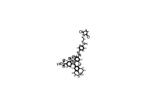 CN(CCCN1C(=O)C=CC1=O)c1ccc(/N=N/c2ccc3c(c2)Oc2c4c5c(cc2=C3c2ccc(S(=O)(=O)O)cc2S(=O)(=O)O)CCC[N+]=5CCC4)cc1